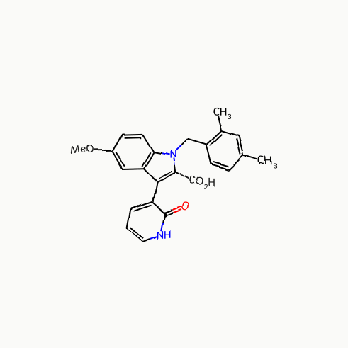 COc1ccc2c(c1)c(-c1ccc[nH]c1=O)c(C(=O)O)n2Cc1ccc(C)cc1C